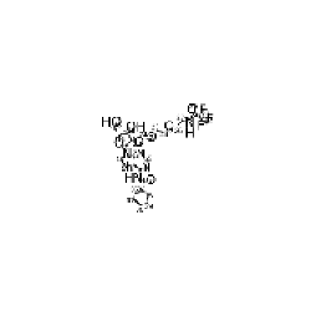 O=C(Nc1ncnc2c1ncn2[C@@H]1O[C@H](CO)[C@@H](O)[C@H]1OCOCCOCCNC(=O)C(F)(F)F)c1ccccc1